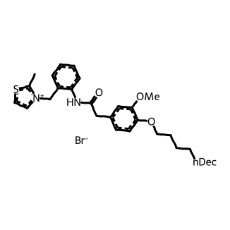 CCCCCCCCCCCCCCOc1ccc(CC(=O)Nc2ccccc2C[n+]2ccsc2C)cc1OC.[Br-]